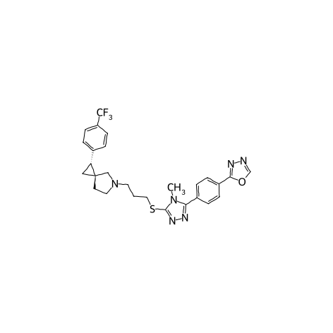 Cn1c(SCCCN2CC[C@]3(C[C@@H]3c3ccc(C(F)(F)F)cc3)C2)nnc1-c1ccc(-c2nnco2)cc1